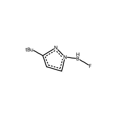 CC(C)(C)c1ccn(BF)n1